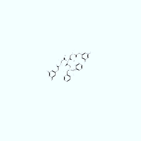 C[C@H](NC(=O)Cc1cc(F)cc(F)c1)C(=O)N(C(=O)[C@H](C)NC(=O)Cc1cc(F)cc(F)c1)C(=O)[C@H](C)N([C@H](C)c1ccccc1)[C@@H](C)c1ccccc1